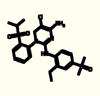 CCc1cc(P(C)(C)=O)ccc1NC1=NC(N)=C(Cl)CN1c1ccccc1S(=O)(=O)C(C)C